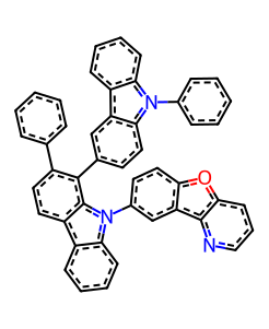 c1ccc(-c2ccc3c4ccccc4n(-c4ccc5oc6cccnc6c5c4)c3c2-c2ccc3c(c2)c2ccccc2n3-c2ccccc2)cc1